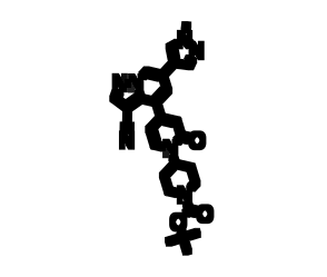 Cn1cc(-c2cc(-c3ccn(C4CCN(C(=O)OC(C)(C)C)CC4)c(=O)c3)c3c(C#N)cnn3c2)cn1